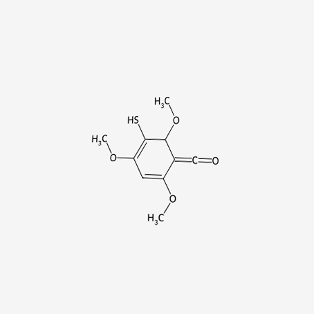 COC1=CC(OC)=C(S)C(OC)C1=C=O